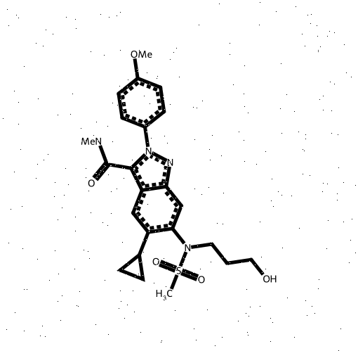 CNC(=O)c1c2cc(C3CC3)c(N(CCCO)S(C)(=O)=O)cc2nn1-c1ccc(OC)cc1